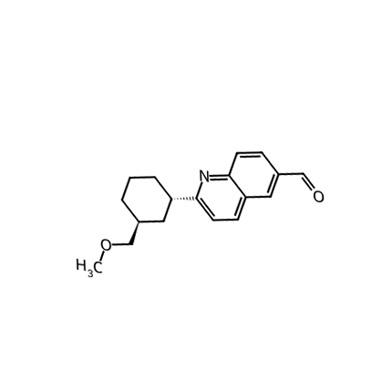 COC[C@H]1CCC[C@H](c2ccc3cc(C=O)ccc3n2)C1